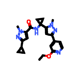 CCOc1cc(-c2cc(C3(NC(=O)c4cc(C5CC5)nn4C)CC3)n(C)n2)ccn1